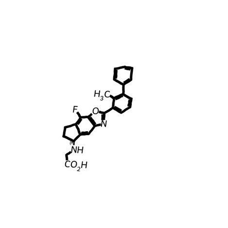 Cc1c(-c2ccccc2)cccc1-c1nc2cc3c(c(F)c2o1)CC[C@H]3NCC(=O)O